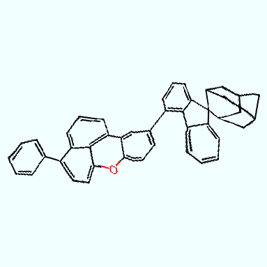 c1ccc(-c2ccc3c4c(cccc24)-c2cc(-c4cccc5c4-c4ccccc4C54C5CC6CC(C5)CC4C6)ccc2O3)cc1